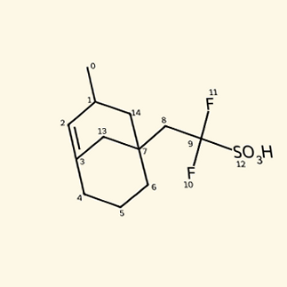 CC1C=C2CCCC(CC(F)(F)S(=O)(=O)O)(C2)C1